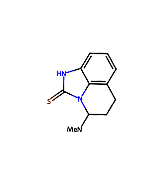 CNC1CCc2cccc3[nH]c(=S)n1c23